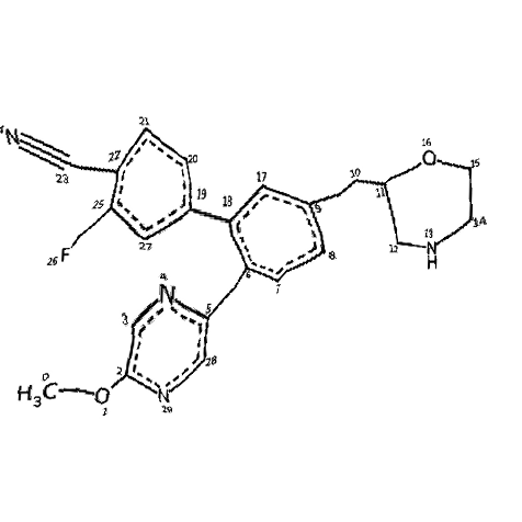 COc1cnc(-c2ccc(CC3CNCCO3)cc2-c2ccc(C#N)c(F)c2)cn1